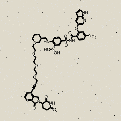 Nc1ccc(C(=O)NS(=O)(=O)c2ccc(NCC3CCCN(CCOCCOCCOCC#Cc4cccc5c4CN(C4CCC(=O)NC4=O)C5=O)C3)c(N(O)O)c2)c(Oc2cnc3[nH]ccc3c2)c1